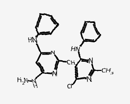 Cc1nc(Cl)cc(Nc2ccccc2)n1.Cc1nc(NN)cc(Nc2ccccc2)n1